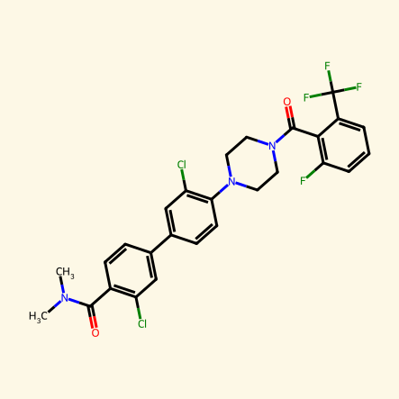 CN(C)C(=O)c1ccc(-c2ccc(N3CCN(C(=O)c4c(F)cccc4C(F)(F)F)CC3)c(Cl)c2)cc1Cl